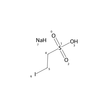 O=S(=O)(O)CCI.[NaH]